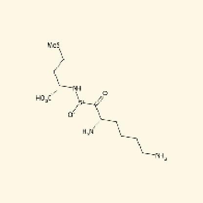 CSCC[C@H](N[S+]([O-])C(=O)[C@@H](N)CCCCN)C(=O)O